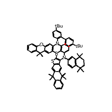 Cc1cc2c3c(c1)N(c1ccc4c(c1)C(C)(C)CCC4(C)C)c1c(sc4cc5c(cc14)C(C)(C)c1ccccc1C5(C)C)B3c1cc3c(cc1N2c1ccc(C(C)(C)C)cc1-c1ccc(C(C)(C)C)cc1)Oc1ccccc1C3(C)C